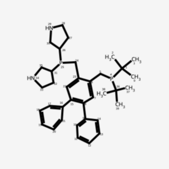 CC(C)(C)P(Cc1cc(-c2ccccc2)c(-c2ccccc2)cc1CP(C1CCNC1)C1CCNC1)C(C)(C)C